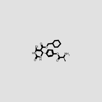 CCC1=C(C(=O)OCC2CCCCC2)[C@H](c2ccc(OC(=O)[C@H](C)N)cc2)NC(=O)N1